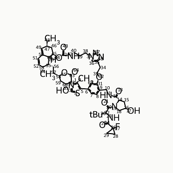 Cc1ncsc1-c1ccc(CNC(=O)[C@@H]2C[C@@H](O)CN2C(=O)[C@@H](NC(=O)C2(F)CC2)C(C)(C)C)c(OCCc2cn(CCCNC(=O)O[C@@H]3C[C@H](C)C=C4C=C[C@@H](C)[C@@H](CC[C@@H]5C[C@@H](O)CC(=O)O5)[C@@H]43)nn2)c1